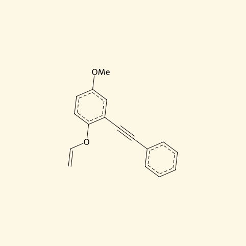 C=COc1ccc(OC)cc1C#Cc1ccccc1